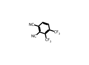 N#Cc1ccc(C(F)(F)F)c(C(F)(F)F)c1C#N